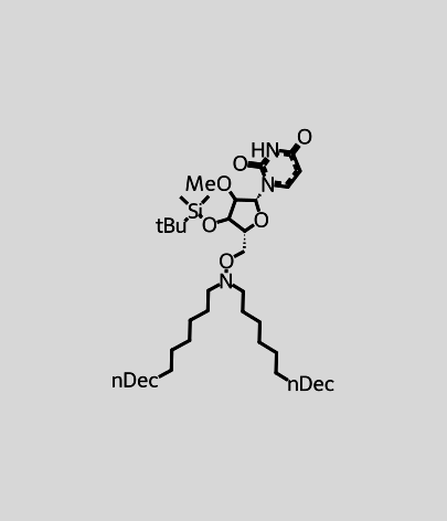 CCCCCCCCCCCCCCCCN(CCCCCCCCCCCCCCCC)OC[C@H]1O[C@@H](n2ccc(=O)[nH]c2=O)C(OC)C1O[Si](C)(C)C(C)(C)C